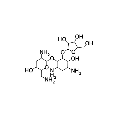 NCC1OC(OC2C(N)CC(N)C(O)C2OC2OC(CO)C(O)C2O)C(N)CC1O